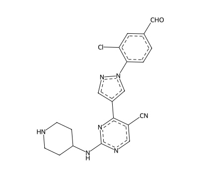 N#Cc1cnc(NC2CCNCC2)nc1-c1cnn(-c2ccc(C=O)cc2Cl)c1